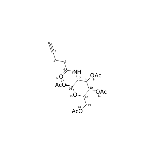 C#CCCC(=O)N[C@@H]1C(OC(C)=O)[C@H](OC(C)=O)C(COC(C)=O)O[C@H]1OC(C)=O